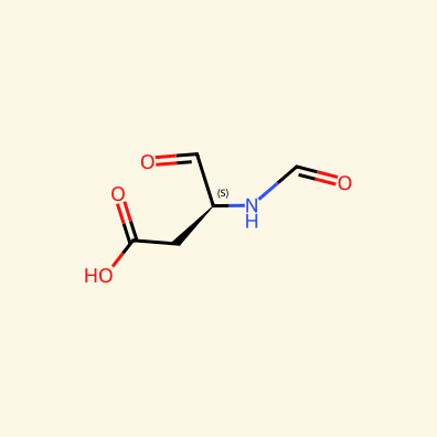 O=CN[C@H](C=O)CC(=O)O